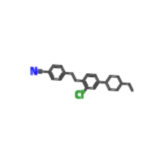 CCC1CCC(c2ccc(CCc3ccc(C#N)cc3)c(Cl)c2)CC1